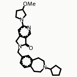 COC1CCN(c2cc3c(cn2)C(=O)N(Cc2ccc4c(c2)CCN(C2CCCC2)CC4)C3)C1